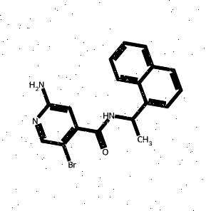 CC(NC(=O)c1cc(N)ncc1Br)c1cccc2ccccc12